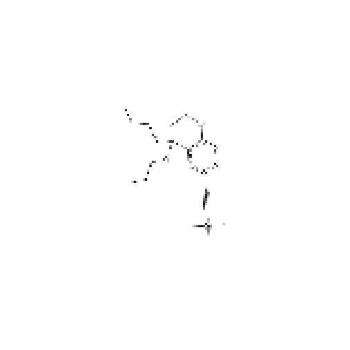 CCCSC1(SCCC)CCOc2ccc(C#C[Si](C)(C)C)cc21